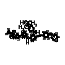 CC(C)(O)C1CCC(Nc2cc(Nc3ccnc(-c4cnn(S(=O)(=O)C5CC5)c4)n3)ncc2C#Cc2ccc(CN3CCOCC3)cc2)CC1